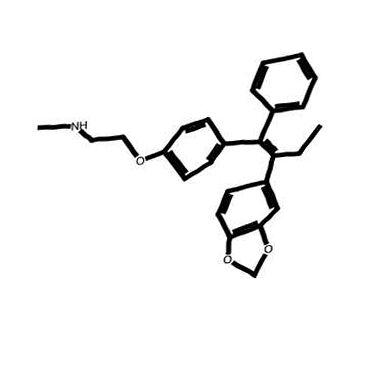 CC/C(=C(\c1ccccc1)c1ccc(OCCNC)cc1)c1ccc2c(c1)OCO2